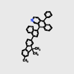 Cc1ccc2c(c1)C(C)(C)c1cc(-c3ccc(-c4c5ccccc5c(-c5ccccc5)c5ccncc45)c4ccccc34)ccc1-2